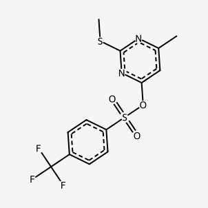 CSc1nc(C)cc(OS(=O)(=O)c2ccc(C(F)(F)F)cc2)n1